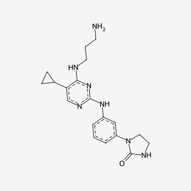 NCCCNc1nc(Nc2cccc(N3CCNC3=O)c2)ncc1C1CC1